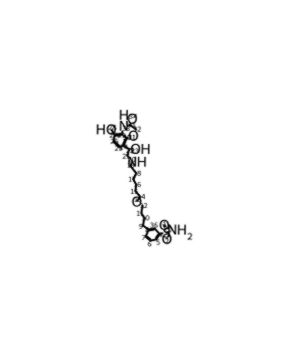 NS(=O)(=O)c1cccc(CCCCOCCCCCCNCC(O)c2ccc(O)c3c2OCC(=O)N3)c1